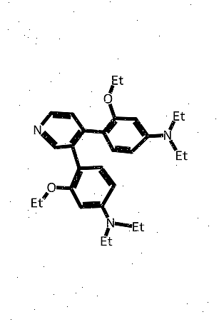 CCOc1cc(N(CC)CC)ccc1-c1ccncc1-c1ccc(N(CC)CC)cc1OCC